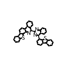 c1ccc2c(-c3cccc4c3sc3ccccc34)nc(-c3nc4c(ccc5c6ccccc6sc54)c4ccccc34)nc2c1